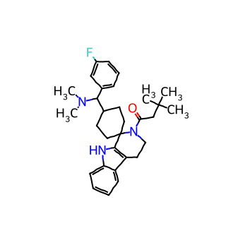 CN(C)C(c1cccc(F)c1)C1CCC2(CC1)c1[nH]c3ccccc3c1CCN2C(=O)CC(C)(C)C